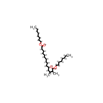 CCCCCCCCOC(=O)CCCCCCCCCCCC(C)C(C)C(=O)OCCCCCCCC